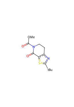 COC(=O)N1CCc2nc(C(C)(C)C)sc2C1=O